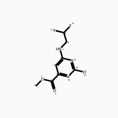 COC(=O)c1cc(NCC(F)F)nc(Cl)n1